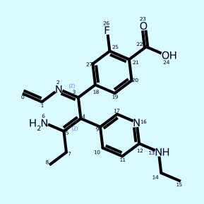 C=C/N=C(\C(=C(/N)CC)c1ccc(NCC)nc1)c1ccc(C(=O)O)c(F)c1